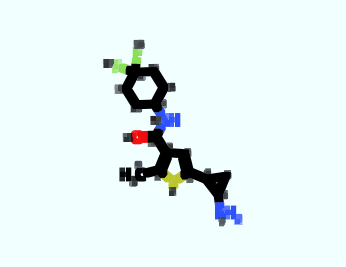 Cc1sc(C2CC2N)cc1C(=O)NC1CCC(F)(F)CC1